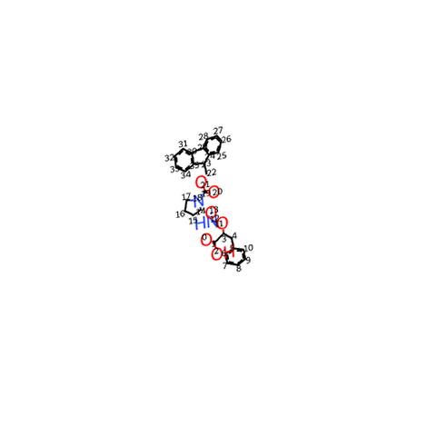 O=C(O)C(Cc1ccccc1)ONO[C@@H]1CCCN1C(=O)OCC1c2ccccc2-c2ccccc21